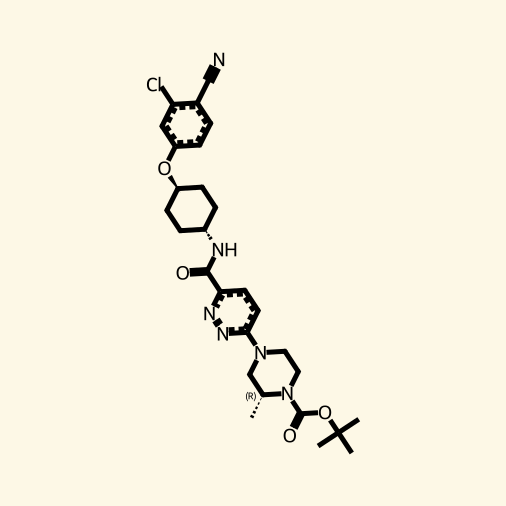 C[C@@H]1CN(c2ccc(C(=O)N[C@H]3CC[C@H](Oc4ccc(C#N)c(Cl)c4)CC3)nn2)CCN1C(=O)OC(C)(C)C